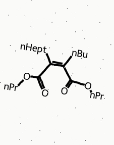 CCCCCCC/C(C(=O)OCCC)=C(\CCCC)C(=O)OCCC